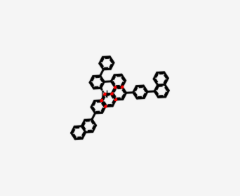 c1ccc(-c2ccccc2-c2c(-c3ccccc3)cccc2N(c2ccc(-c3ccc(-c4cccc5ccccc45)cc3)cc2)c2ccc(-c3ccc4ccccc4c3)cc2)cc1